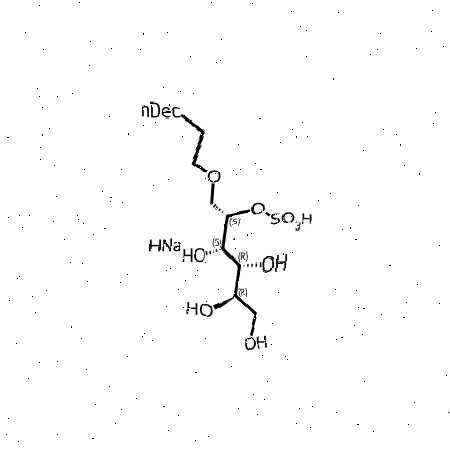 CCCCCCCCCCCCOC[C@H](OS(=O)(=O)O)[C@@H](O)[C@H](O)[C@H](O)CO.[NaH]